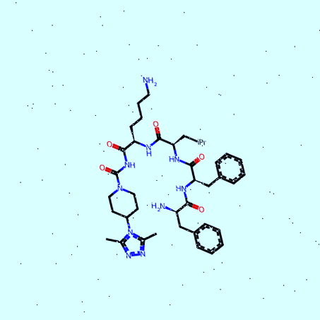 Cc1nnc(C)n1C1CCN(C(=O)NC(=O)[C@@H](CCCCN)NC(=O)[C@@H](CC(C)C)NC(=O)[C@@H](Cc2ccccc2)NC(=O)[C@H](N)Cc2ccccc2)CC1